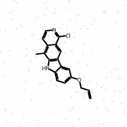 C=CCOc1ccc2[nH]c3c(C)c4ccnc(Cl)c4cc3c2c1